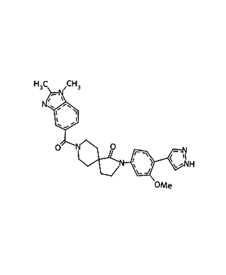 COc1cc(N2CCC3(CCN(C(=O)c4ccc5c(c4)nc(C)n5C)CC3)C2=O)ccc1-c1cn[nH]c1